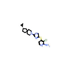 Nc1nccc(Sc2cnc(N3CCC4(CC[C@H](C5CC5)C4)CC3)cn2)c1Cl